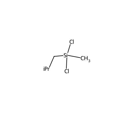 CC(C)C[Si](C)(Cl)Cl